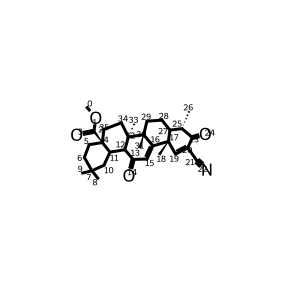 COC(=O)[C@]12CCC(C)(C)CC1C1C(=O)C=C3[C@@]4(C)C=C(C#N)C(=O)[C@@H](C)C4CC[C@@]3(C)[C@]1(C)CC2